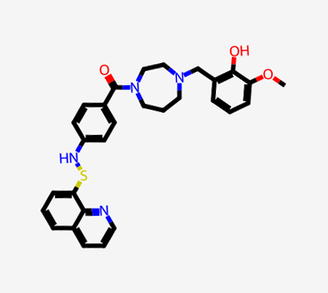 COc1cccc(CN2CCCN(C(=O)c3ccc(NSc4cccc5cccnc45)cc3)CC2)c1O